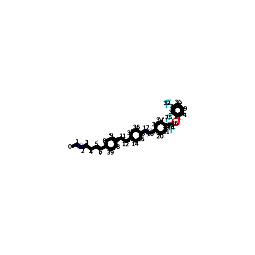 C/C=C/CCCCC1CCC(CCC2CCC(/C=C/C3CCC(C(F)(F)Oc4cccc(F)c4)CC3)CC2)CC1